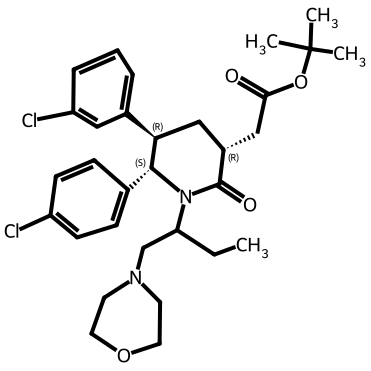 CCC(CN1CCOCC1)N1C(=O)[C@@H](CC(=O)OC(C)(C)C)C[C@H](c2cccc(Cl)c2)[C@H]1c1ccc(Cl)cc1